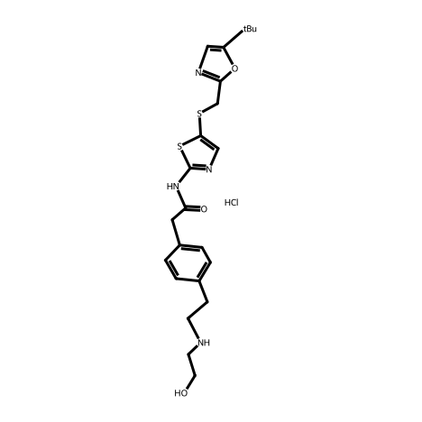 CC(C)(C)c1cnc(CSc2cnc(NC(=O)Cc3ccc(CCNCCO)cc3)s2)o1.Cl